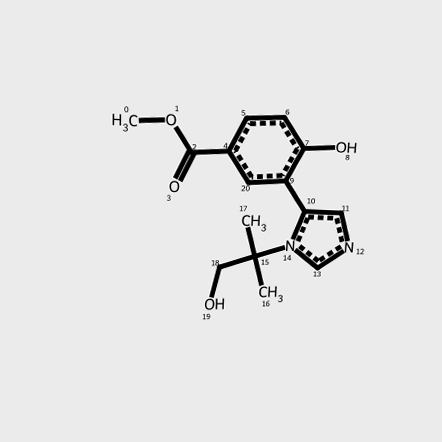 COC(=O)c1ccc(O)c(-c2cncn2C(C)(C)CO)c1